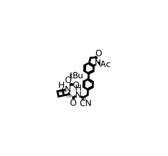 CC(=O)N1C(=O)Cc2ccc(-c3ccc(C[C@@H](C#N)NC(=O)[C@@H]4C5CC[C@H]5N4C(=O)OC(C)(C)C)cc3)cc21